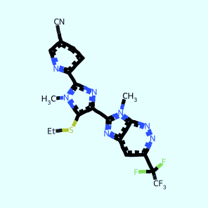 CCSc1c(-c2nc3cc(C(F)(F)C(F)(F)F)nnc3n2C)nc(-c2ccc(C#N)cn2)n1C